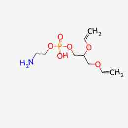 C=COCC(COP(=O)(O)OCCN)OC=C